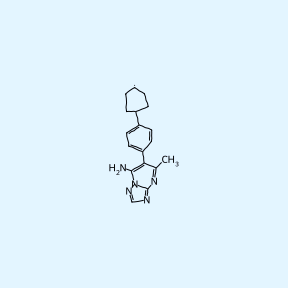 Cc1nc2ncnn2c(N)c1-c1ccc(C2CC[CH]CC2)cc1